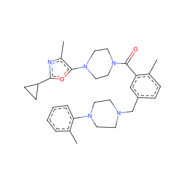 Cc1ccc(CN2CCN(c3ccccc3C)CC2)cc1C(=O)N1CCN(c2oc(C3CC3)nc2C)CC1